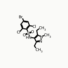 CCc1nn(C)c(CC)c1NS(=O)(=O)c1c(Cl)cc(Br)cc1Cl